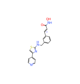 O=C(/C=C/c1cccc(CNc2nc(-c3ccncc3)cs2)c1)NO